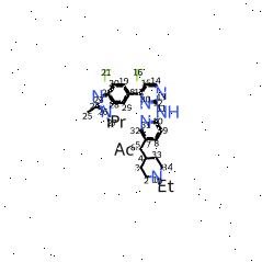 CCN1CCC([C@H](C(C)=O)c2ccc(Nc3ncc(F)c(-c4cc(F)c5nc(C)n(C(C)C)c5c4)n3)nc2)CC1